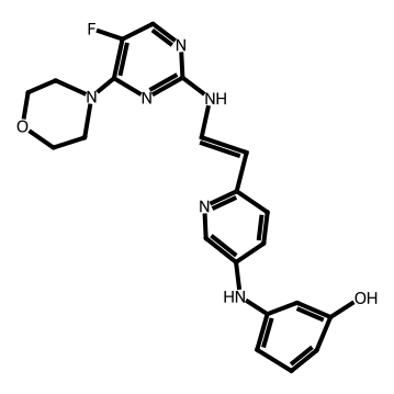 Oc1cccc(Nc2ccc(/C=C/Nc3ncc(F)c(N4CCOCC4)n3)nc2)c1